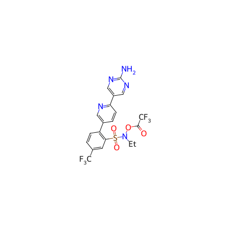 CCN(OC(=O)C(F)(F)F)S(=O)(=O)c1cc(C(F)(F)F)ccc1-c1ccc(-c2cnc(N)nc2)nc1